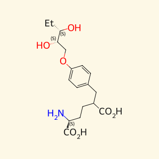 CC[C@H](O)[C@@H](O)COc1ccc(CC(CC[C@H](N)C(=O)O)C(=O)O)cc1